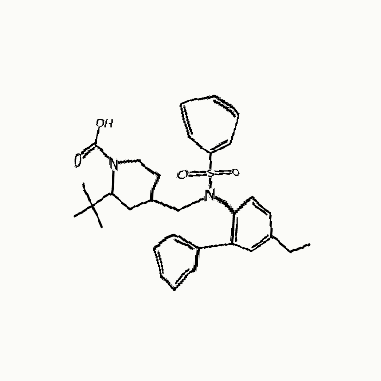 CCc1ccc(N(CC2CCN(C(=O)O)C(C(C)(C)C)C2)S(=O)(=O)c2ccccc2)c(-c2ccccc2)c1